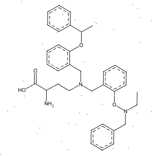 CCN(Cc1ccccc1)Oc1ccccc1CN(CCC(N)C(=O)O)Cc1ccccc1OC(C)c1ccccc1